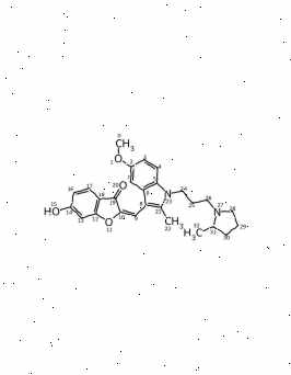 COc1ccc2c(c1)c(C=C1Oc3cc(O)ccc3C1=O)c(C)n2CCCN1CCCC1C